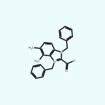 Cc1ccc2c(c1C)[n+](Cc1ccccc1)c(C(=O)[O-])n2Cc1ccccc1